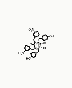 O=C1N(Cc2cccc([N+](=O)[O-])c2)[C@H](Cc2ccc(O)cc2)[C@H](O)[C@@H](O)[C@@H](Cc2ccc(O)cc2)N1Cc1cccc([N+](=O)[O-])c1